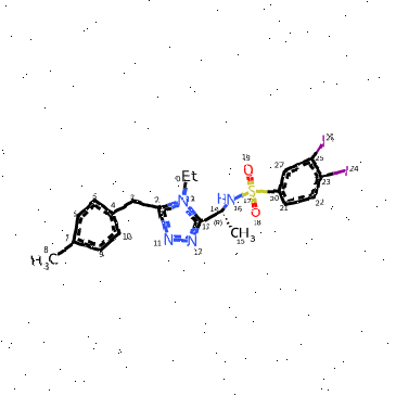 CCn1c(Cc2ccc(C)cc2)nnc1[C@@H](C)NS(=O)(=O)c1ccc(I)c(I)c1